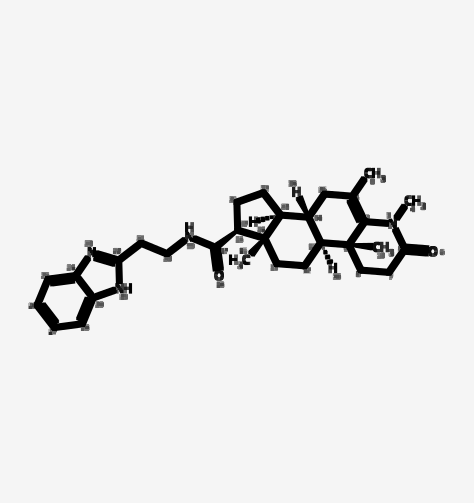 CC1=C2N(C)C(=O)CC[C@]2(C)[C@H]2CC[C@]3(C)[C@@H](C(=O)NCCc4nc5ccccc5[nH]4)CC[C@H]3[C@@H]2C1